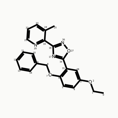 CCOc1ccc(OCc2ccccc2)c(-c2nc(-c3ncccc3C)no2)c1